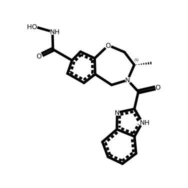 C[C@H]1COc2cc(C(=O)NO)ccc2CN1C(=O)c1nc2ccccc2[nH]1